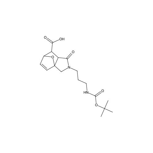 CC(C)(C)OC(=O)NCCCN1CC23C=CC(O2)C(C(=O)O)C3C1=O